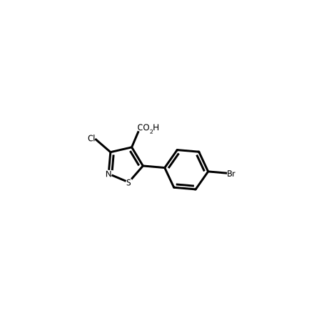 O=C(O)c1c(Cl)nsc1-c1ccc(Br)cc1